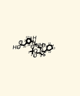 CC(C)(C)OC(=O)C1CSC(C2CCCCC2)N1C(=O)CNC(=O)Nc1cccc(CC(=O)O)c1